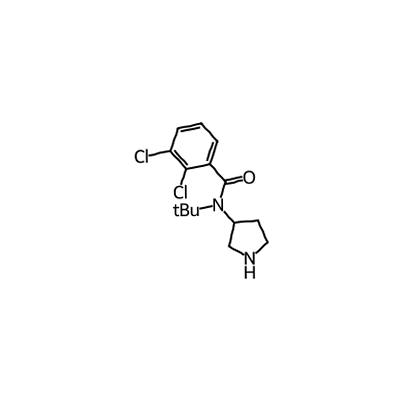 CC(C)(C)N(C(=O)c1cccc(Cl)c1Cl)C1CCNC1